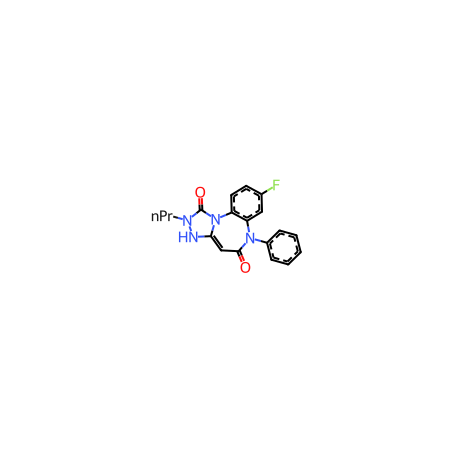 CCCN1NC2=CC(=O)N(c3ccccc3)c3cc(F)ccc3N2C1=O